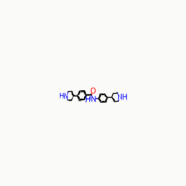 O=C(Nc1ccc(C2=CCNCC2)cc1)c1ccc(C2=CCNCC2)cc1